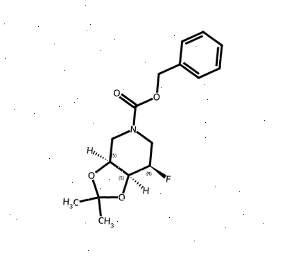 CC1(C)O[C@@H]2[C@H](F)CN(C(=O)OCc3ccccc3)C[C@@H]2O1